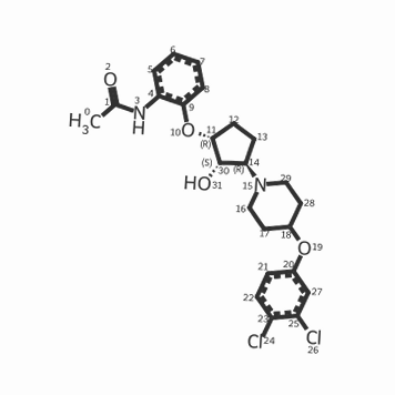 CC(=O)Nc1ccccc1O[C@@H]1CC[C@@H](N2CCC(Oc3ccc(Cl)c(Cl)c3)CC2)[C@@H]1O